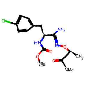 COC(=O)[C@H](C)O/N=C(\N)[C@H](Cc1ccc(Cl)cc1)NC(=O)OC(C)(C)C